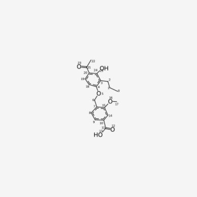 CCCc1c(OCc2ccc(C(=O)O)cc2OC)ccc(C(C)=O)c1O